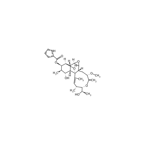 C=C1O[C@H]([C@@H](C)O)[C@H](C)/C=C(\C)[C@@]23O[C@H]4[C@H](OC(=O)c5ccc[nH]5)[C@H](C)[C@@H](O)[C@@H]2[C@H]4[C@H]2O[C@H]2[C@@H]3C[C@@H]1OC